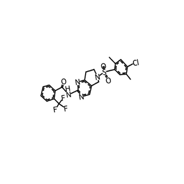 Cc1cc(S(=O)(=O)N2CCc3nc(NC(=O)c4ccccc4C(F)(F)F)ncc3C2)c(C)cc1Cl